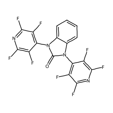 O=c1n(-c2c(F)c(F)nc(F)c2F)c2ccccc2n1-c1c(F)c(F)nc(F)c1F